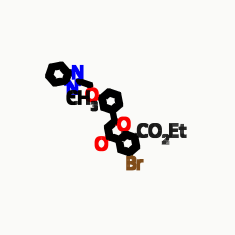 CCOC(=O)c1cc(Br)cc2c(=O)cc(-c3cccc(OCc4nc5ccccc5n4C)c3)oc12